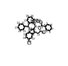 COC(=O)c1ccccc1OCCc1c(CCN)n(C(c2ccccc2)c2ccccc2)c2ccc(Cl)cc12